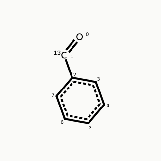 O=[13CH]c1ccccc1